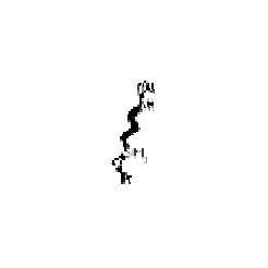 CCCCNCCC[SiH2]OC(C)C